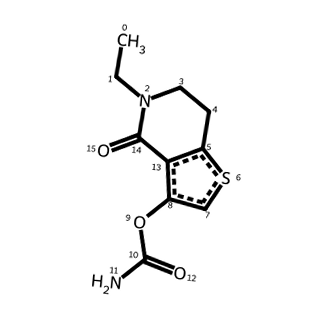 CCN1CCc2scc(OC(N)=O)c2C1=O